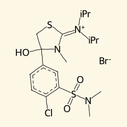 CC(C)[N+](=C1SCC(O)(c2ccc(Cl)c(S(=O)(=O)N(C)C)c2)N1C)C(C)C.[Br-]